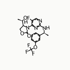 C[C@H](Nc1ncc(F)c(N2C(=O)OCC2[C@@H](C)O)n1)c1cccc(OC(F)(F)F)c1